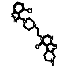 CN1CCc2c(sc3ncn(CCN4CCN(c5nsc6cccc(Cl)c56)CC4)c(=O)c23)C1